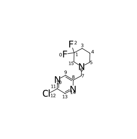 FC1(F)CCCN(Cc2cnc(Cl)cn2)C1